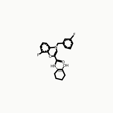 O=C(N[C@H]1CCCC[C@@H]1O)C1=CN(Cc2cccc(F)c2)c2cccc(F)c2O1